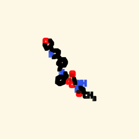 Cc1cc(NC(=O)CS(=O)(=O)c2cn(Cc3cccc(-c4ccc(C5CCOCC5)nc4)c3)c3ccccc23)no1